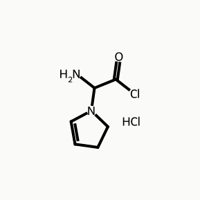 Cl.NC(C(=O)Cl)N1C=CCC1